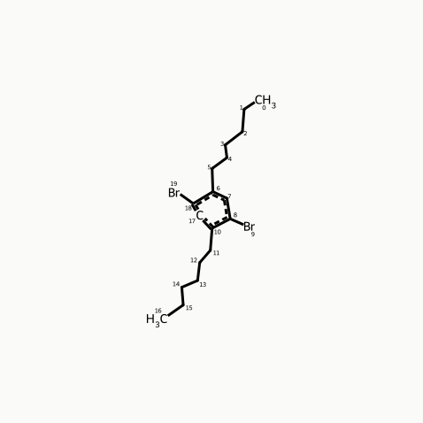 CCCCCCc1cc(Br)c(CCCCCC)cc1Br